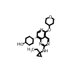 CCC1(Nc2ncc3c(OC4CCOCC4)ncc([C@H]4CC[C@H](O)CC4)c3n2)CC1